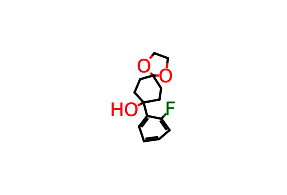 OC1(c2ccccc2F)CCC2(CC1)OCCO2